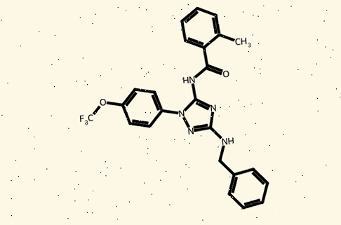 Cc1ccccc1C(=O)Nc1nc(NCc2ccccc2)nn1-c1ccc(OC(F)(F)F)cc1